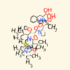 CC[C@H](C)[C@@H]([C@@H](CC(=O)N1CCC[C@H]1[C@H](OC)[C@@H](C)C(=O)NC(Cc1ccccc1)C(O)O)OC)N(C)C(=O)[C@@H](NC(=O)[C@H](C(C)C)N(C)C(C)(C)S)C(C)C